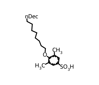 CCCCCCCCCCCCCCCCCCOc1c(C)cc(S(=O)(=O)O)cc1C